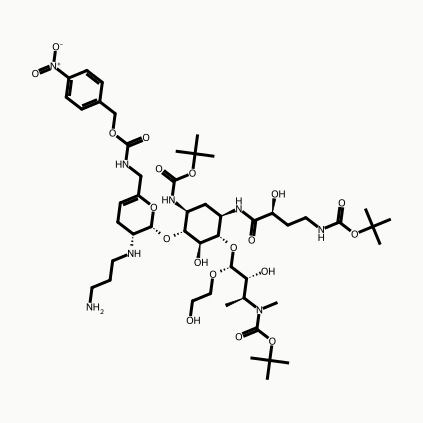 C[C@@H]([C@@H](O)[C@H](OCCO)O[C@@H]1[C@@H](O)[C@H](O[C@H]2OC(CNC(=O)OCc3ccc([N+](=O)[O-])cc3)=CC[C@H]2NCCCN)[C@@H](NC(=O)OC(C)(C)C)C[C@H]1NC(=O)[C@@H](O)CCNC(=O)OC(C)(C)C)N(C)C(=O)OC(C)(C)C